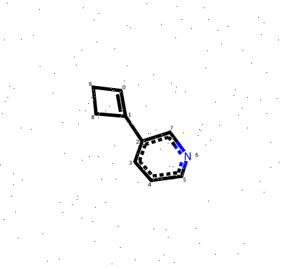 C1=C(c2cccnc2)CC1